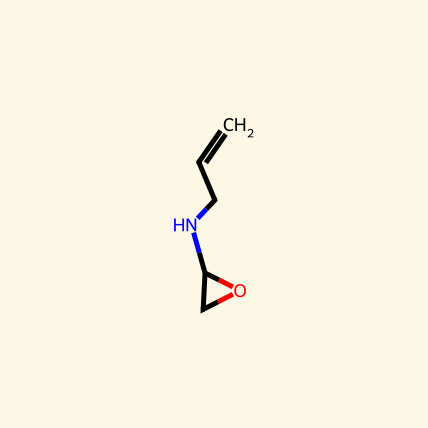 C=CCNC1CO1